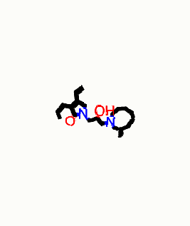 C=CC1=C(/C=C\C)C(=O)N(CC(O)CN2CC/C=C\C=C/C(=C)C2)C1